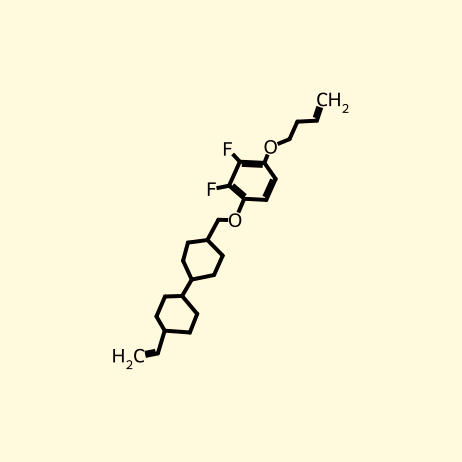 C=CCCOc1ccc(OCC2CCC(C3CCC(C=C)CC3)CC2)c(F)c1F